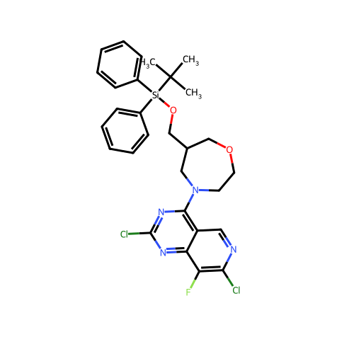 CC(C)(C)[Si](OCC1COCCN(c2nc(Cl)nc3c(F)c(Cl)ncc23)C1)(c1ccccc1)c1ccccc1